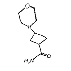 NC(=O)C1CC(N2CCOCC2)C1